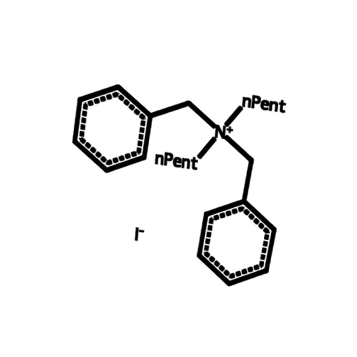 CCCCC[N+](CCCCC)(Cc1ccccc1)Cc1ccccc1.[I-]